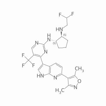 Cc1noc(C)c1-c1ccc2c(-c3nc(N[C@H]4CCC[C@@H]4NCC(F)F)ncc3C(F)(F)F)c[nH]c2n1